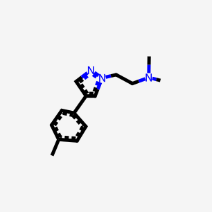 Cc1ccc(-c2cnn(CCN(C)C)c2)cc1